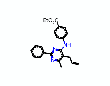 C=CCc1c(C)nc(-c2ccccc2)nc1Nc1ccc(C(=O)OCC)cc1